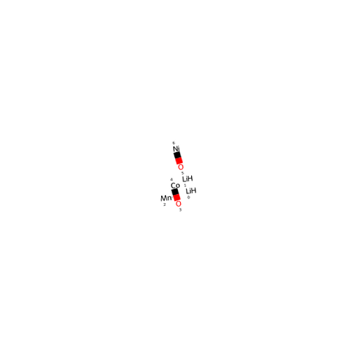 [LiH].[LiH].[Mn].[O]=[Co].[O]=[Ni]